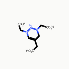 O=C(O)CC1=CN(CC(=O)O)NN(CC(=O)O)C1